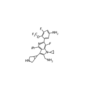 CC(C)c1nc(-c2cc(N)cc(F)c2OC(F)(F)F)c(F)c2c1c(C1C3CNCC31)c(CN)n2C1CC1